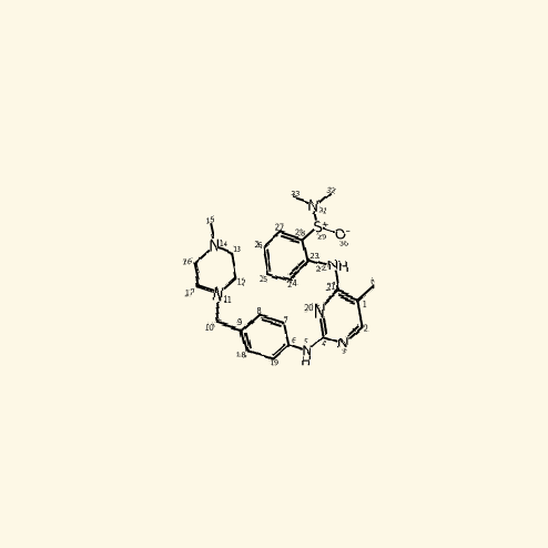 Cc1cnc(Nc2ccc(CN3CCN(C)CC3)cc2)nc1Nc1ccccc1[S+]([O-])N(C)C